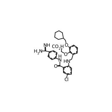 N=C(N)c1ccc(NC(=O)c2cc(Cl)ccc2NCc2cccc(OCC3CCCCC3)c2OCC(=O)O)cc1